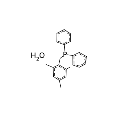 Cc1cc(C)c(CP(c2ccccc2)c2ccccc2)c(C)c1.O